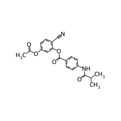 CC(=O)Oc1ccc(C#N)c(OC(=O)c2ccc(NC(=O)C(C)C)cc2)c1